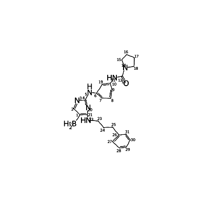 Bc1cnc(Nc2cccc(NC(=O)N3CCCC3)c2)nc1NCCCc1ccccc1